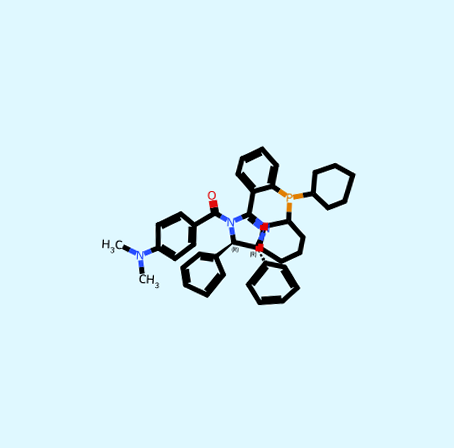 CN(C)c1ccc(C(=O)N2C(c3ccccc3P(C3CCCCC3)C3CCCCC3)=N[C@H](c3ccccc3)[C@H]2c2ccccc2)cc1